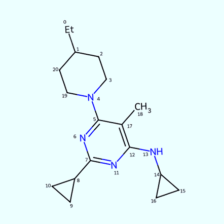 CCC1CCN(c2nc(C3CC3)nc(NC3CC3)c2C)CC1